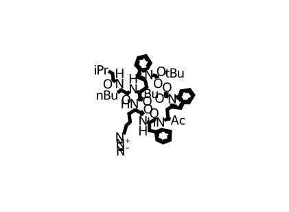 CCCCC(NC(=O)CC(C)C)C(=O)NC(Cc1cc2ccccc2n1C(=O)OC(C)(C)C)C(=O)NC(CCCCN=[N+]=[N-])C(=O)NC(Cc1ccccc1)C(=O)NC(Cc1cc2ccccc2n1C(=O)OC(C)(C)C)C(C)=O